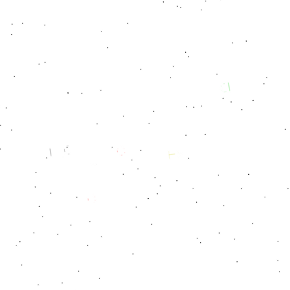 CC(=O)OC[SH]1C=CC(Cl)=C1